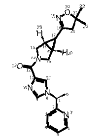 C[C@@H](c1ccccn1)n1cnc(C(=O)N2C[C@@H]3C(C4=NOC(C)(C)C4)[C@@H]3C2)c1